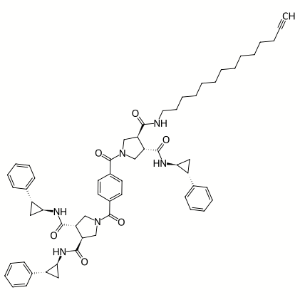 C#CCCCCCCCCCCCCNC(=O)[C@@H]1CN(C(=O)c2ccc(C(=O)N3C[C@@H](C(=O)N[C@H]4C[C@@H]4c4ccccc4)[C@H](C(=O)N[C@H]4C[C@@H]4c4ccccc4)C3)cc2)C[C@H]1C(=O)N[C@H]1C[C@@H]1c1ccccc1